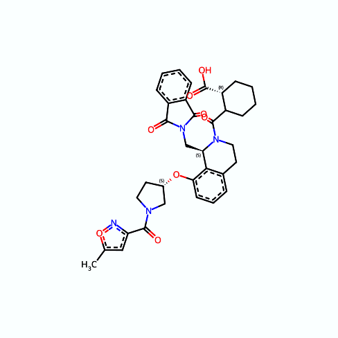 Cc1cc(C(=O)N2CC[C@H](Oc3cccc4c3[C@@H](CN3C(=O)c5ccccc5C3=O)N(C(=O)C3CCCC[C@H]3C(=O)O)CC4)C2)no1